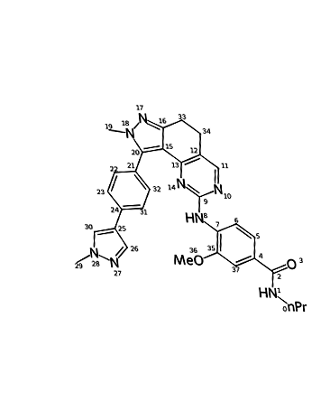 CCCNC(=O)c1ccc(Nc2ncc3c(n2)-c2c(nn(C)c2-c2ccc(-c4cnn(C)c4)cc2)CC3)c(OC)c1